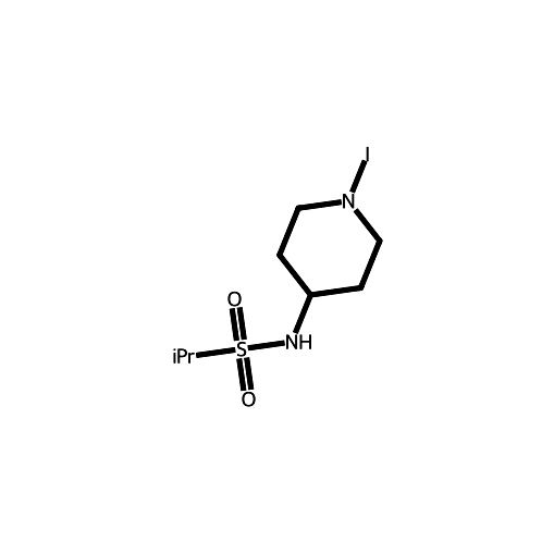 CC(C)S(=O)(=O)NC1CCN(I)CC1